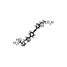 CC(O)c1nccn1Cc1cc(-c2ccc(C#Cc3ccc(CNCC(=O)O)nc3)cc2)on1